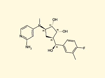 Cc1cc([C@@H](O)[C@H]2C[C@@H](N(C)c3ccnc(N)c3)[C@H](O)[C@@H]2O)ccc1F